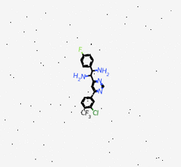 NC(c1ccc(F)cc1)C(N)c1cc(-c2ccc(C(F)(F)F)c(Cl)c2)ncn1